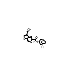 C#Cc1csc2cnc(C(=O)N[C@@H]3C[C@@H]4CCN(C4)C3)cc12